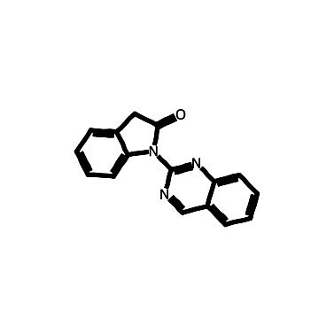 O=C1Cc2ccccc2N1c1ncc2ccccc2n1